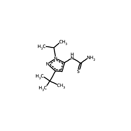 CC(C)n1nc(C(C)(C)C)cc1NC(N)=S